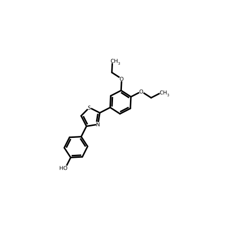 CCOc1ccc(-c2nc(-c3ccc(O)cc3)cs2)cc1OCC